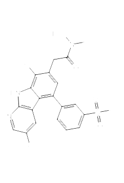 CCS(=O)(=O)c1cccc(-c2cc(CC(=O)N(C)C)c(C)c3[nH]c4ncc(C)cc4c23)c1